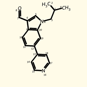 CC(C)Cn1cc(C=O)c2ccc(-c3ccncc3)cc21